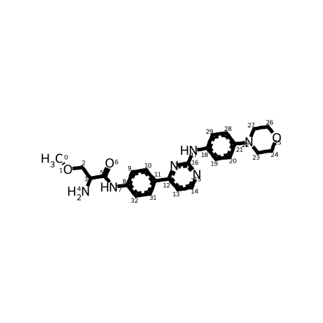 COCC(N)C(=O)Nc1ccc(-c2ccnc(Nc3ccc(N4CCOCC4)cc3)n2)cc1